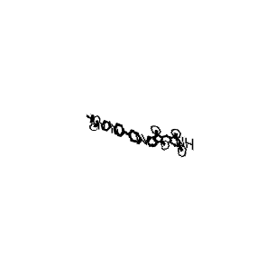 CC(C)(C)OC(=O)N1CCC(N2CCC(C3CCN(c4ccc5c(c4)C(=O)C(CC4CCC(=O)NC4=O)C5=O)CC3)CC2)CC1